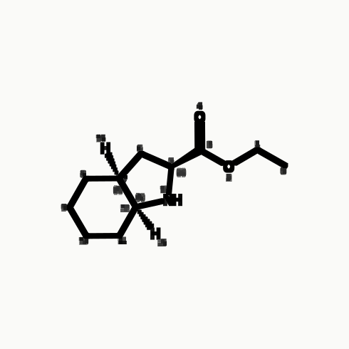 CCOC(=O)[C@@H]1C[C@@H]2CCCC[C@@H]2N1